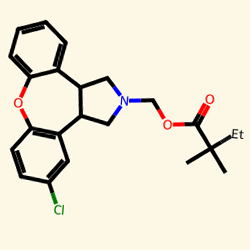 CCC(C)(C)C(=O)OCN1CC2c3ccccc3Oc3ccc(Cl)cc3C2C1